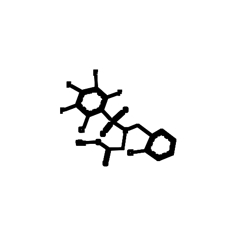 CC(C)(C)OC(=O)CN(Cc1ccccc1Cl)S(=O)(=O)c1c(F)c(F)c(F)c(F)c1Cl